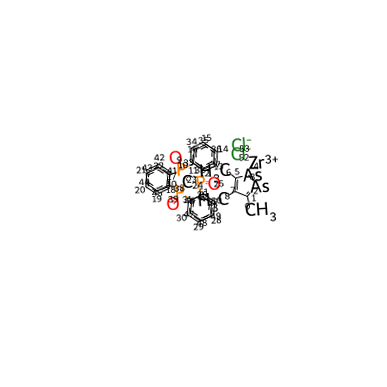 CC1=[As][As]([Zr+3])C(C)=C1C.O=P(c1ccccc1)(c1ccccc1)[C-](P(=O)(c1ccccc1)c1ccccc1)P(=O)(c1ccccc1)c1ccccc1.[Cl-].[Cl-]